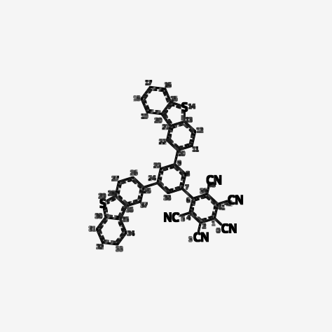 N#Cc1c(C#N)c(C#N)c(-c2cc(-c3ccc4sc5ccccc5c4c3)cc(-c3ccc4sc5ccccc5c4c3)c2)c(C#N)c1C#N